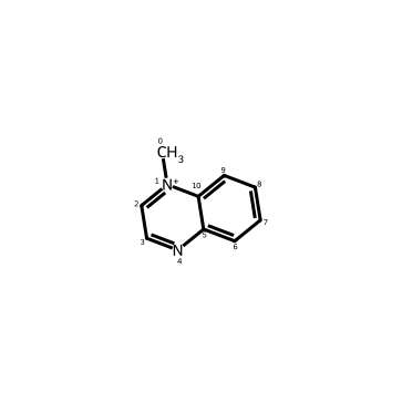 C[n+]1ccnc2ccccc21